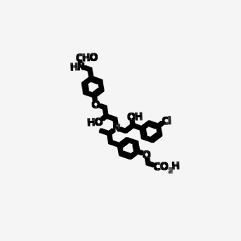 CC(Cc1ccc(OCC(=O)O)cc1)N(CC(O)COc1ccc(CNC=O)cc1)CC(O)c1cccc(Cl)c1